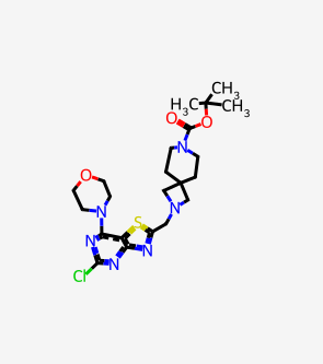 CC(C)(C)OC(=O)N1CCC2(CC1)CN(Cc1nc3nc(Cl)nc(N4CCOCC4)c3s1)C2